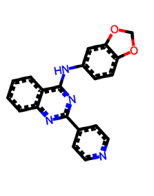 c1ccc2c(Nc3ccc4c(c3)OCO4)nc(-c3ccncc3)nc2c1